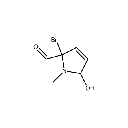 CN1C(O)C=CC1(Br)C=O